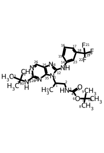 CC(CNC(=O)OC(C)(C)C)n1c(Nc2cccc(C(F)(F)F)c2)nc2cnc(NC(C)(C)C)nc21